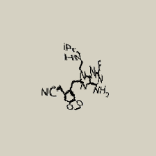 CC(C)CNCCn1c(Cc2cc3c(cc2CC#N)OCCO3)nc2c(N)nc(F)nc21